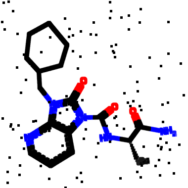 CC(C)(C)[C@H](NC(=O)n1c(=O)n(CC2CCCCC2)c2ncccc21)C(N)=O